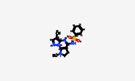 CCC(C)N1CCc2c(NS(=O)(=O)c3ccccc3)nc3c(C#N)cnn3c21